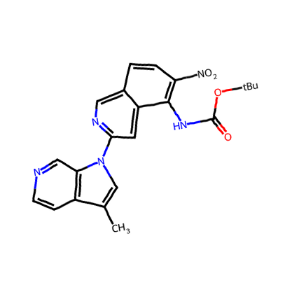 Cc1cn(-c2cc3c(NC(=O)OC(C)(C)C)c([N+](=O)[O-])ccc3cn2)c2cnccc12